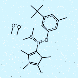 CC1=C(C)C(C)[C]([Ti+2]([O]c2cc(C)cc(C(C)(C)C)c2)=[Si](C)C)=C1C.C[O-].C[O-]